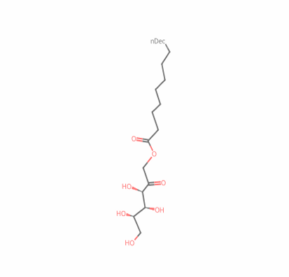 CCCCCCCCCCCCCCCCCC(=O)OCC(=O)[C@H](O)[C@@H](O)[C@H](O)CO